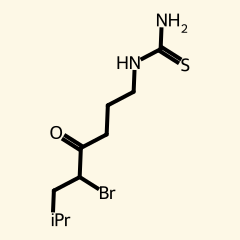 CC(C)CC(Br)C(=O)CCCNC(N)=S